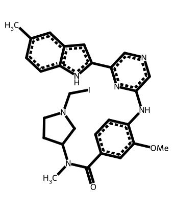 COc1cc(C(=O)N(C)C2CCN(CI)C2)ccc1Nc1cncc(-c2cc3cc(C)ccc3[nH]2)n1